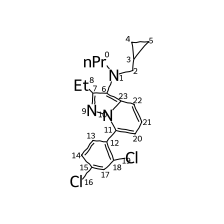 CCCN(CC1CC1)c1c(CC)nn2c(-c3ccc(Cl)cc3Cl)cccc12